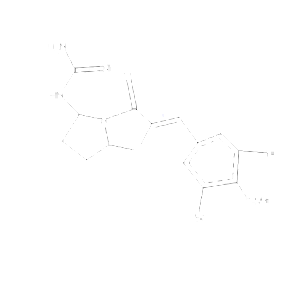 COc1c(Br)cc(/C=C2\OC3CCC(NC(=N)N)N3C2=O)cc1Br